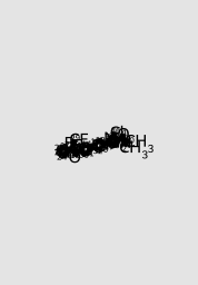 CN(C)C(=O)c1ccc(N2CCC(C3CCN(C(=O)C(c4ccccc4)C(F)(F)C(F)(F)F)CC3)CC2)nc1Cl